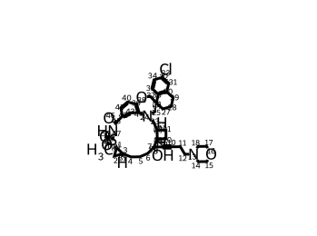 C[C@@]12C[C@H]1CCC[C@](O)(C#CCCN1CCOCC1)[C@@H]1CC[C@H]1CN1C[C@@]3(CCCc4cc(Cl)ccc43)COc3ccc(cc31)C(=O)NS2(=O)=O